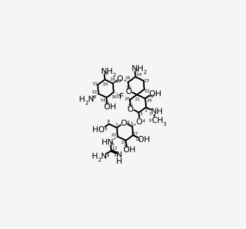 CNC1C(O[C@H]2OC(CO)[C@@H](NC(=N)N)C(O)C2O)OCC2(CCC(N)[C@@H](O[C@@H]3C(N)C[C@@H](N)C(O)[C@H]3F)O2)C1O